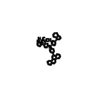 CC(C)(C)c1cc(N(c2ccc(-c3cccc4ccccc34)cc2)c2ccc(-c3cc4c5ccccc5ccc4c4ccccc34)cc2)ccc1-c1ccccc1